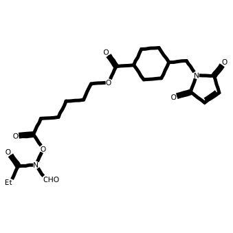 CCC(=O)N(C=O)OC(=O)CCCCCOC(=O)C1CCC(CN2C(=O)C=CC2=O)CC1